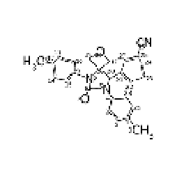 Cc1ccc(N2C(=O)N(c3ccc(C)cc3)C3(COC3)C2c2cccc(C#N)c2)cc1